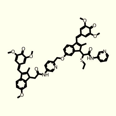 CCSC(C(=O)Nc1cccnc1)C1C(C)=C(C=C2C=C(OC)C(=O)C(OC)=C2)c2ccc(OCc3ccc(NC(=O)CC4C(C)=C(C=C5C=C(OC)C(=O)C(OC)=C5)c5ccc(OC)cc54)cn3)cc21